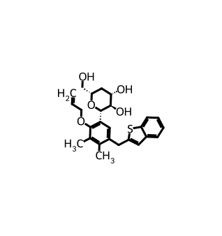 C=CCOc1c([C@@H]2O[C@H](CO)C[C@H](O)[C@H]2O)cc(Cc2cc3ccccc3s2)c(C)c1C